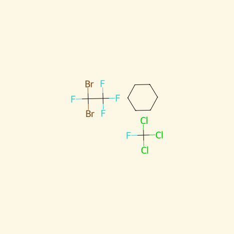 C1CCCCC1.FC(Cl)(Cl)Cl.FC(F)(F)C(F)(Br)Br